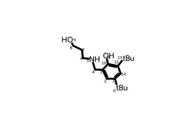 CC(C)(C)c1cc(CNCCCO)c(O)c(C(C)(C)C)c1